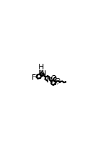 CCCCOc1[c]ccc(N2CCC(c3n[nH]c4cc(F)ccc34)CC2)c1OC